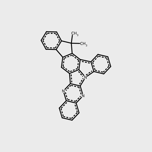 CC1(C)c2ccccc2-c2cc3c4nc5ccccc5nc4n4c5ccccc5c(c21)c34